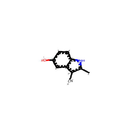 Cc1[nH]c2ccc(O)cc2c1C#N